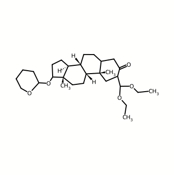 CCOC(OCC)C1C[C@@]2(C)C(CC[C@@H]3[C@H]2CC[C@]2(C)C(OC4CCCCO4)CC[C@@H]32)CC1=O